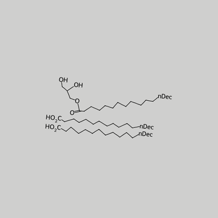 CCCCCCCCCCCCCCCCCCCCCC(=O)O.CCCCCCCCCCCCCCCCCCCCCC(=O)O.CCCCCCCCCCCCCCCCCCCCCC(=O)OCC(O)CO